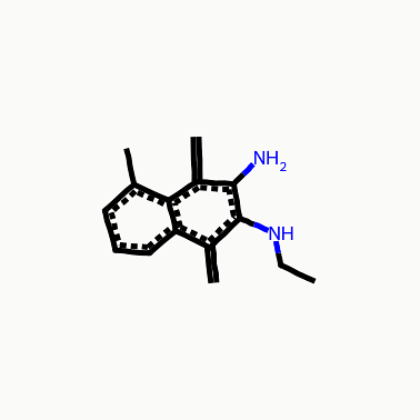 C=c1c(NCC)c(N)c(=C)c2c(C)cccc12